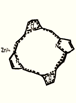 C1=Cc2cc3ccc(cc4nc(cc5ccc(cc1n2)[nH]5)C=C4)[nH]3.[Zn+3]